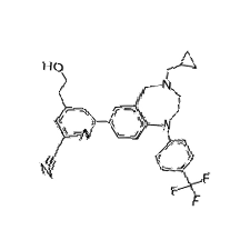 N#Cc1cc(CCO)cc(-c2ccc3c(c2)CN(CC2CC2)CCN3c2ccc(C(F)(F)F)cc2)n1